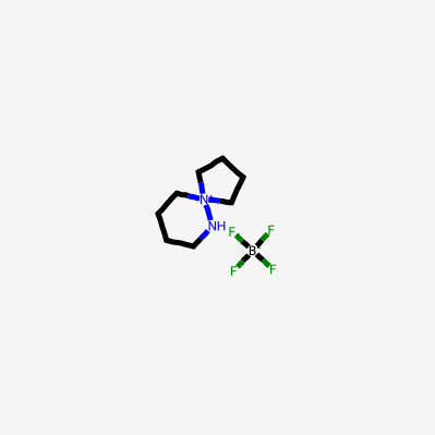 C1CC[N+]2(CCCC2)NC1.F[B-](F)(F)F